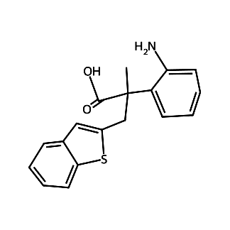 CC(Cc1cc2ccccc2s1)(C(=O)O)c1ccccc1N